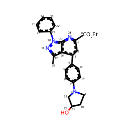 CCOC(=O)c1cc(-c2ccc(N3CCC(O)C3)cc2)c2c(C)nn(-c3ccccc3)c2n1